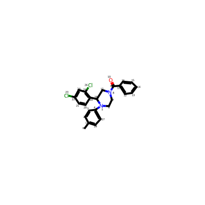 Cc1ccc(N2CCN(C(=O)c3ccccc3)CC2c2ccc(Cl)cc2Cl)cc1